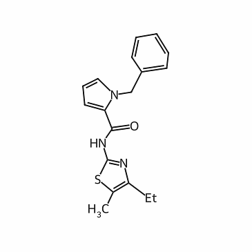 CCc1nc(NC(=O)c2cccn2Cc2ccccc2)sc1C